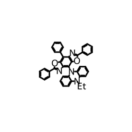 CCN1c2ccccc2N(c2c3nc(-c4ccccc4)oc3c(-c3ccccc3)c3nc(-c4ccccc4)oc23)c2ccccc21